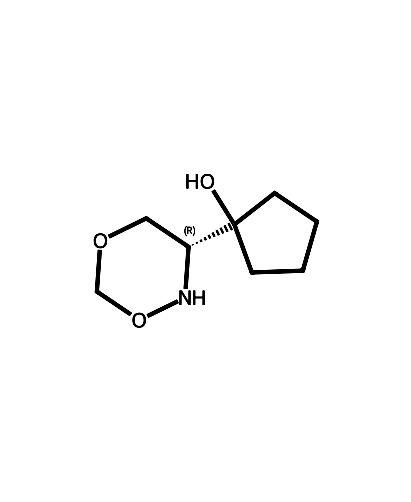 OC1([C@H]2COCON2)CCCC1